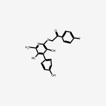 N#Cc1c(N)nc(SCC(=O)c2ccc(F)cc2)c(C#N)c1-c1ccc(O)cc1